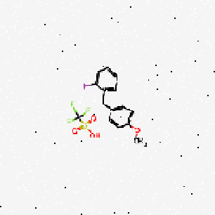 COc1ccc(Cc2ccccc2I)cc1.O=S(=O)(O)C(F)(F)F